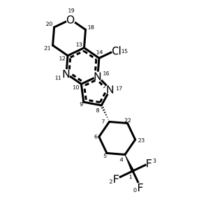 FC(F)(F)[C@H]1CC[C@H](c2cc3nc4c(c(Cl)n3n2)COCC4)CC1